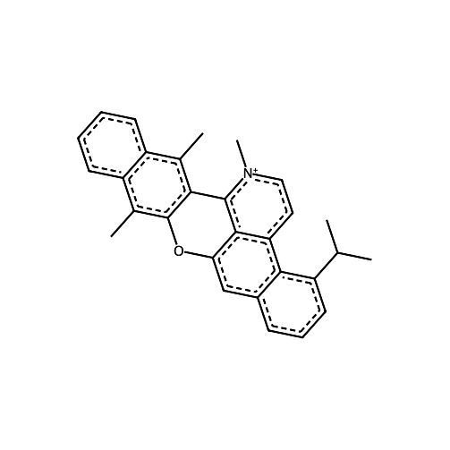 Cc1c2c(c(C)c3ccccc13)-c1c3c(cc4cccc(C(C)C)c4c3cc[n+]1C)O2